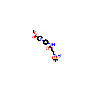 CCOC(=O)C1CCN(c2ccc(NC(=O)CCCCNS(=O)(=O)C(C)(C)C)cc2)CC1